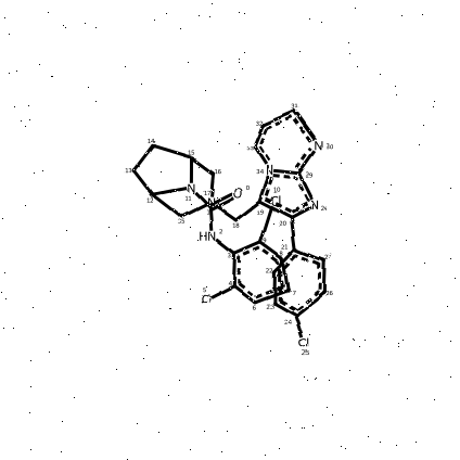 O=C(Nc1c(Cl)cccc1Cl)N1C2CCC1CN(Cc1c(-c3ccc(Cl)cc3)nc3ncccn13)C2